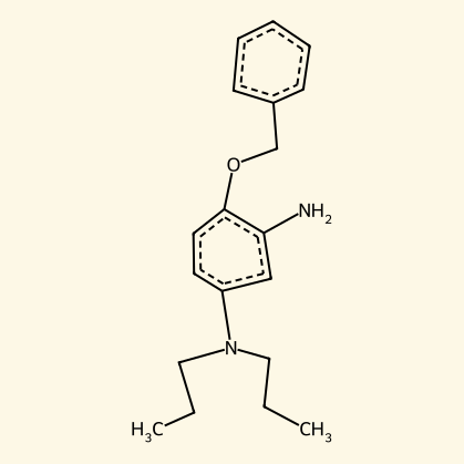 CCCN(CCC)c1ccc(OCc2ccccc2)c(N)c1